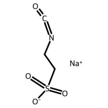 O=C=NCCS(=O)(=O)[O-].[Na+]